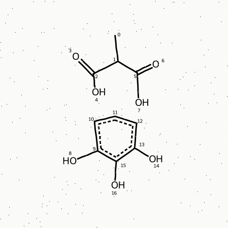 CC(C(=O)O)C(=O)O.Oc1cccc(O)c1O